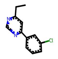 CCc1cc(-c2cccc(Cl)c2)ncn1